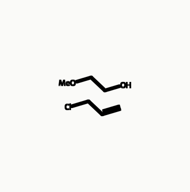 C=CCCl.COCCO